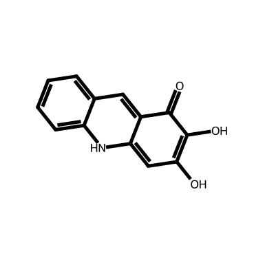 O=c1c2cc3ccccc3[nH]c-2cc(O)c1O